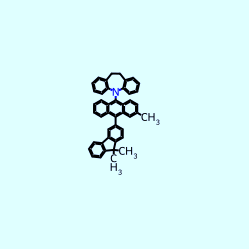 Cc1ccc2c(N3c4ccccc4CCc4ccccc43)c3ccccc3c(-c3ccc4c(c3)-c3ccccc3C4(C)C)c2c1